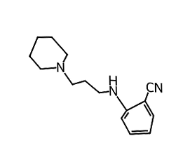 N#Cc1ccccc1NCCCN1CCCCC1